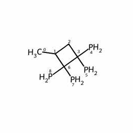 CC1CC(P)(P)C1(P)P